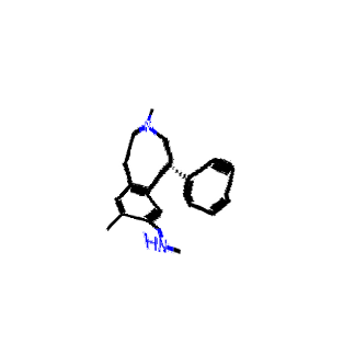 CNc1cc2c(cc1C)CCN(C)C[C@@H]2c1ccccc1